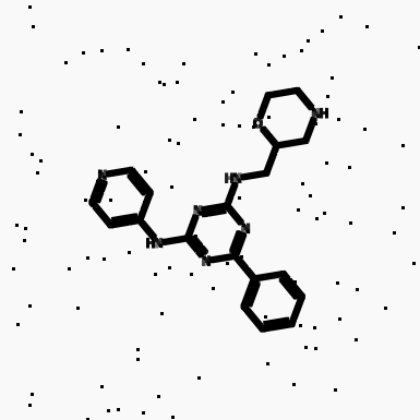 c1ccc(-c2nc(NCC3CNCCO3)nc(Nc3ccncc3)n2)cc1